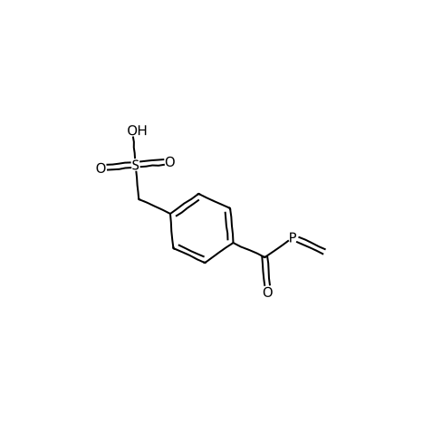 C=PC(=O)c1ccc(CS(=O)(=O)O)cc1